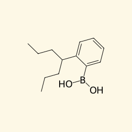 CCCC(CCC)c1ccccc1B(O)O